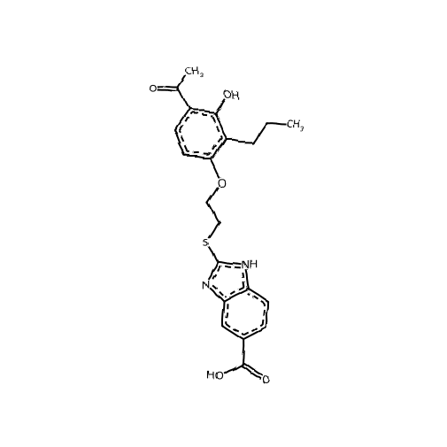 CCCc1c(OCCSc2nc3cc(C(=O)O)ccc3[nH]2)ccc(C(C)=O)c1O